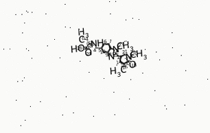 CC[C@H](NCc1ccc2c(c1)nc(-c1cc(C)c(=O)n(C)c1)n2C)C(=O)O